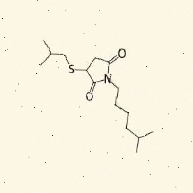 CC(C)CCCCN1C(=O)CC(SCC(C)C)C1=O